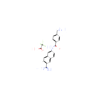 N=C(N)c1ccc2cc(NC(=O)c3ccc(CN)cc3)ccc2c1.O=C(O)C(F)(F)F